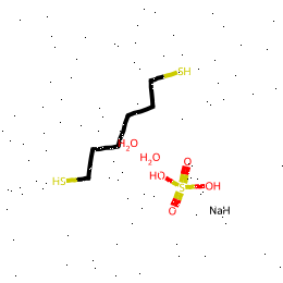 O.O.O=S(=O)(O)O.SCCCCCCS.[NaH]